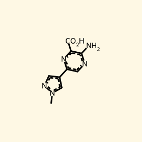 Cn1cc(-c2cnc(N)c(C(=O)O)n2)cn1